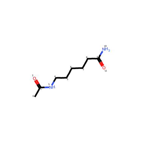 CC(=O)NCCCCCC(N)=O